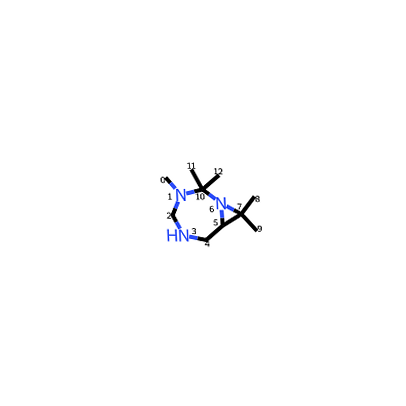 CN1CNCC2N(C2(C)C)C1(C)C